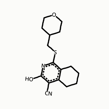 N#Cc1c(O)nc(SCC2CCOCC2)c2c1CCCC2